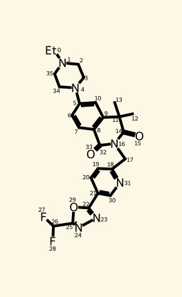 CCN1CCN(c2ccc3c(c2)C(C)(C)C(=O)N(Cc2ccc(-c4nnc(C(F)F)o4)cn2)C3=O)CC1